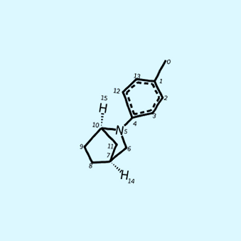 Cc1ccc(N2C[C@H]3CC[C@@H]2C3)cc1